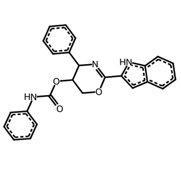 O=C(Nc1ccccc1)OC1COC(c2cc3ccccc3[nH]2)=NC1c1ccccc1